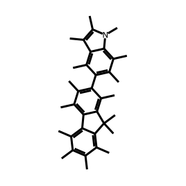 Cc1c(C)c(C)c2c(c1C)-c1c(C)c(C)c(-c3c(C)c(C)c4c(c3C)c(C)c(C)n4C)c(C)c1C2(C)C